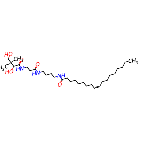 CCCCCCCC/C=C\CCCCCCCC(=O)NCCCCNC(=O)CCNC(=O)C(O)C(C)(C)CO